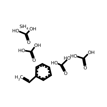 C=Cc1ccccc1.O=C(O)O.O=C(O)O.O=C(O)O.O=C(O)O.[SiH4]